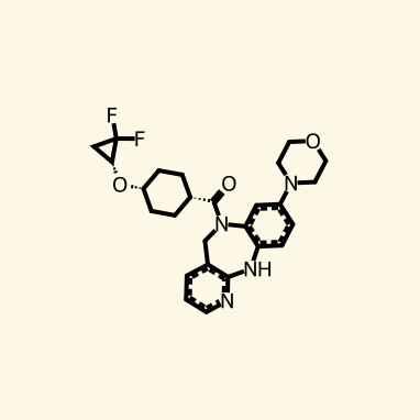 O=C([C@H]1CC[C@@H](O[C@@H]2CC2(F)F)CC1)N1Cc2cccnc2Nc2ccc(N3CCOCC3)cc21